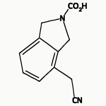 N#CCc1cccc2c1CN(C(=O)O)C2